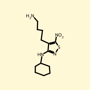 NCCCCc1c(NC2CCCCC2)nsc1[N+](=O)[O-]